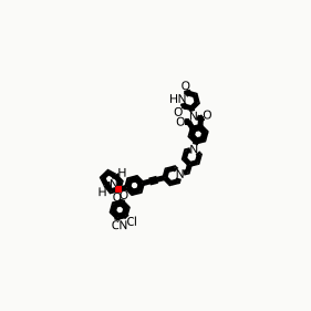 N#Cc1ccc(O[C@H]2C[C@H]3CC[C@@H](C2)N3C(=O)c2ccc(C#CC3CCN(CC4CCN(c5ccc6c(c5)C(=O)N(C5CCC(=O)NC5=O)C6=O)CC4)CC3)cc2)cc1Cl